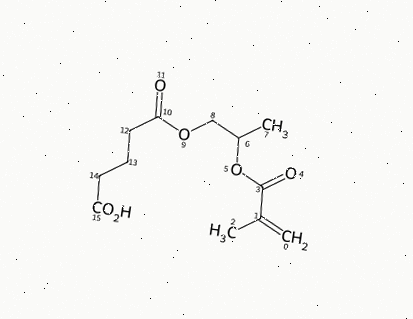 C=C(C)C(=O)OC(C)COC(=O)CCCC(=O)O